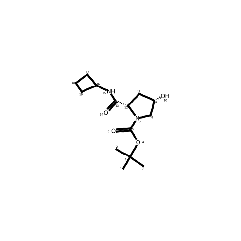 CC(C)(C)OC(=O)N1C[C@@H](O)C[C@H]1C(=O)NC1CCC1